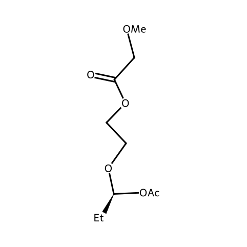 CC[C@@H](OCCOC(=O)COC)OC(C)=O